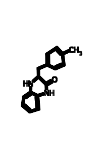 Cc1ccc(CC2Nc3ccccc3NC2=O)cc1